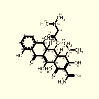 C[C@@H]1c2cccc(O)c2C(=O)C2=C(O)[C@]3(O)C(=O)C(C(N)=O)=C(O)[C@H](N(C)C)[C@H]3[C@H](OC(=O)CN(C)C)[C@H]21